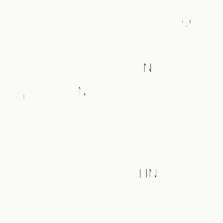 CC(=O)N1CCN2C(=O)c3ccccc3C2C1.CCNC